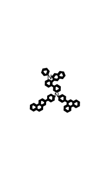 C1=C(c2ccc3c(ccc4ccccc43)c2)CCC(N(c2ccc(-c3cc4ccccc4c4ccccc34)cc2)c2cccc(-c3cccc4c3c3cc5ccccc5cc3n4-c3ccccc3)c2)=C1